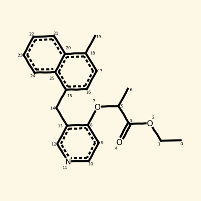 CCOC(=O)C(C)Oc1ccncc1Cc1ccc(C)c2ccccc12